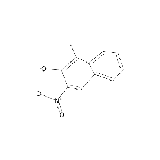 Cc1c([O])c([N+](=O)[O-])cc2ccccc12